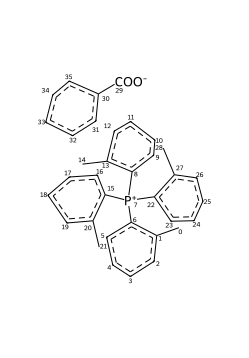 Cc1ccccc1[P+](c1ccccc1C)(c1ccccc1C)c1ccccc1C.O=C([O-])c1ccccc1